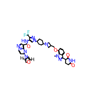 Cn1nc(C2CCC(=O)NC2=O)c2cccc(OCC3CN(C4CCC(n5cc(NC(=O)c6cnn7ccc(N8C[C@H]9C[C@@H]8CO9)nc67)c(C(F)F)n5)CC4)C3)c21